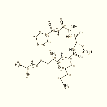 CC(C)[C@H](NC(=O)[C@H](CC(=O)O)NC(=O)[C@H](CCCCN)NC(=O)[C@@H](N)CCCNC(=N)N)C(=O)NC(=O)N1CCCCC1